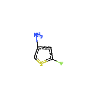 Nc1csc(F)c1